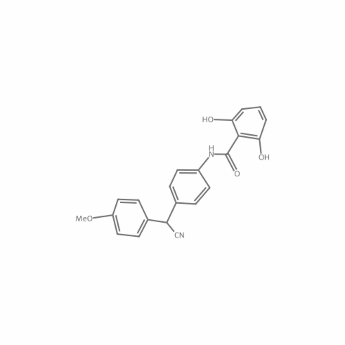 COc1ccc(C(C#N)c2ccc(NC(=O)c3c(O)cccc3O)cc2)cc1